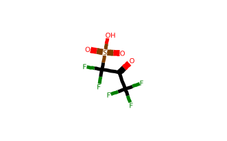 O=C(C(F)(F)F)C(F)(F)S(=O)(=O)O